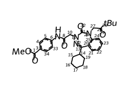 COC(=O)c1ccc(NC(=O)CN2N=C(C3CCCCC3)c3ccccc3N(CC(=O)C(C)(C)C)C2=O)cc1